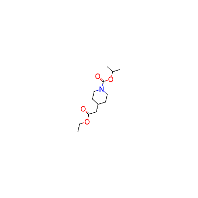 CCOC(=O)CC1CCN(C(=O)OC(C)C)CC1